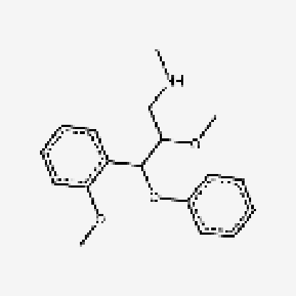 CNCC(OC)C(Oc1ccccc1)c1ccccc1OC